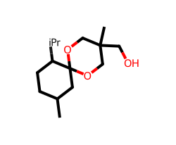 CC1CCC(C(C)C)C2(C1)OCC(C)(CO)CO2